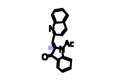 CC(=O)N1/C(=C\c2ccc3ccccc3n2)C(=O)c2ccccc21